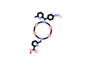 COC(=O)c1cccc(CN2CCOCCOCCN(C(c3ccc(N)cc3)c3cccc(C)n3)CCOCCOCC2)n1